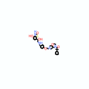 CC(C)(C(=O)N1CCOC2(CCN(CCOc3ccc(CNCC(O)c4ccc(O)c5[nH]c(=O)sc45)cc3)CC2)C1)c1ccccc1